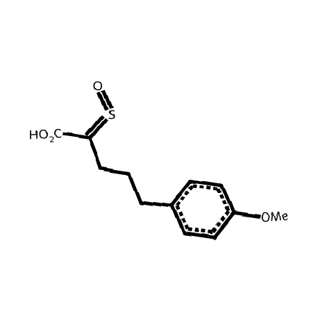 COc1ccc(CCCC(=S=O)C(=O)O)cc1